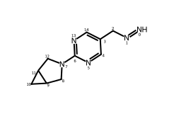 N=NCc1cnc(N2CC3CC3C2)nc1